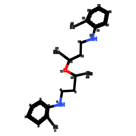 CCc1ccccc1NCCC(OC(CCNc1ccccc1CC)C(C)CC)C(C)CC